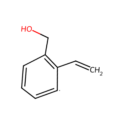 C=Cc1[c]cccc1CO